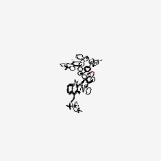 CC[C@@]1(OC(=O)c2ccc([N+](=O)[O-])cc2O[C@@H]2O[C@H](C(=O)OC)[C@@H](C)[C@H](C)[C@H]2OC(C)=O)C(=O)OCc2c1cc1n(c2=O)Cc2c-1nc1ccccc1c2CCN(C(=O)OC(C)(C)C)C(C)C